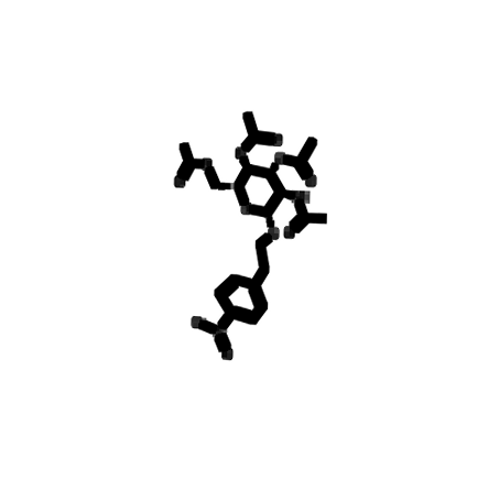 CC(=O)N[C@H]1[C@H](OCCc2ccc([N+](=O)[O-])cc2)O[C@H](COC(C)=O)[C@@H](OC(C)=O)[C@@H]1OC(C)=O